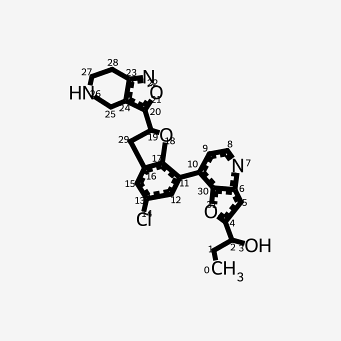 CCC(O)c1cc2nccc(-c3cc(Cl)cc4c3OC(c3onc5c3CNCC5)C4)c2o1